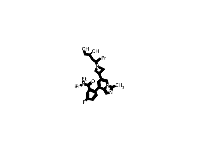 CCN(C(=O)c1cc(F)ccc1-c1cc(C2CN(C(C[C@H](O)CO)C(C)C)C2)cn2c(C)ncc12)C(C)C